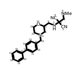 CNCC(C#N)(C#N)NCC1CN(Cc2ccc(-c3ccccc3)cc2)CCO1